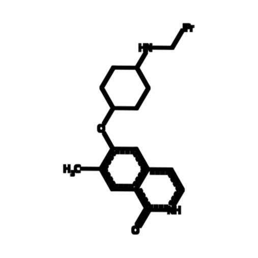 Cc1cc2c(=O)[nH]ccc2cc1OC1CCC(NCC(C)C)CC1